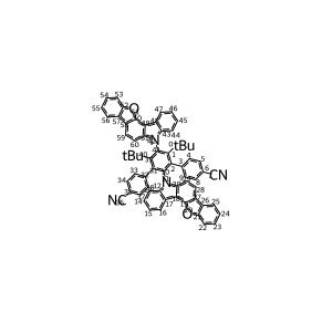 CC(C)(C)c1c(-c2ccc(C#N)cc2)c(-n2c3ccccc3c3c4oc5ccccc5c4ccc32)c(-c2ccc(C#N)cc2)c(C(C)(C)C)c1-n1c2ccccc2c2c3oc4ccccc4c3ccc21